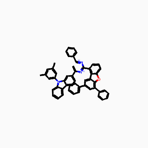 C=C(/N=C(\N=C\c1ccccc1)c1cccc2oc3c(-c4ccccc4)cc(-c4ccccc4)cc3c12)c1ccc2c3ccccc3n(-c3cc(C)cc(C)c3)c2c1